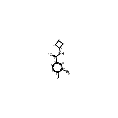 Cc1ccc(C(=O)NC2CCC2)cc1Br